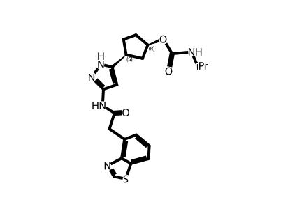 CC(C)NC(=O)O[C@@H]1CC[C@H](c2cc(NC(=O)Cc3cccc4scnc34)n[nH]2)C1